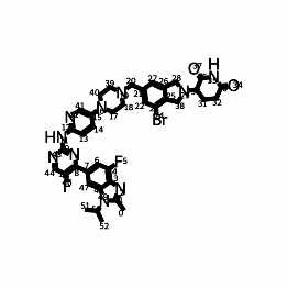 Cc1nc2c(F)cc(-c3nc(Nc4ccc(N5CCN(Cc6cc(Br)c7c(c6)CN(C6CCC(=O)NC6=O)C7)CC5)cn4)ncc3F)cc2n1C(C)C